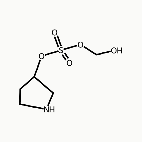 O=S(=O)(OCO)OC1CCNC1